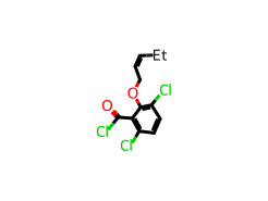 CC/C=C\COc1c(Cl)ccc(Cl)c1C(=O)Cl